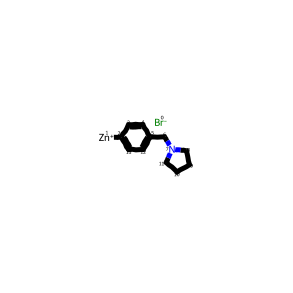 [Br-].[Zn+][c]1ccc(CN2CCCC2)cc1